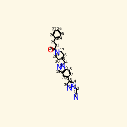 N#CCn1cc(-c2ccc3c(cnn3CC3CCN(C(=O)CCc4ccccc4)CC3)c2)cn1